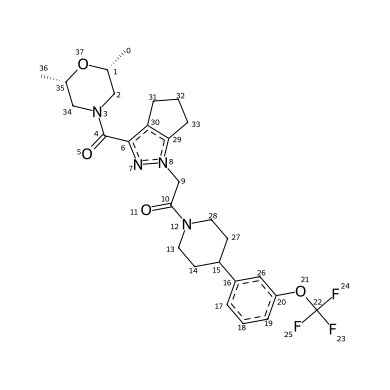 C[C@@H]1CN(C(=O)c2nn(CC(=O)N3CCC(c4cccc(OC(F)(F)F)c4)CC3)c3c2CCC3)C[C@H](C)O1